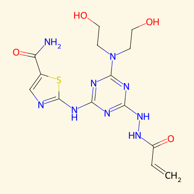 C=CC(=O)NNc1nc(Nc2ncc(C(N)=O)s2)nc(N(CCO)CCO)n1